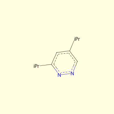 CC(C)c1cnnc(C(C)C)c1